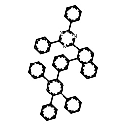 c1ccc(-c2nc(-c3ccccc3)nc(-c3ccc4ccccc4c3-c3cccc(-c4cc(-c5ccccc5)c(-c5ccccc5)cc4-c4ccccc4)c3)n2)cc1